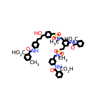 Cc1ccc(C(=O)O)c(C(=O)Nc2ccc(CCC(O)c3ccc(CS(=O)(=O)N(C)Cc4cc(CCS(=O)(=O)N(C)Cc5cccc(NC(=O)c6ccccc6C(=O)O)c5)cc(NC(=O)c5ccccc5C(=O)O)c4)cc3)cc2)c1